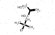 C=C(C)C(=O)O.CC[N+](C)(C)C.Cl